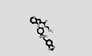 CCN(C(=O)c1cc2ncccc2[nH]1)[C@H]1CCCC(S)(NCc2ccc3ncoc3c2)C1